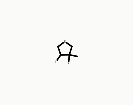 CC1(F)CSCC1F